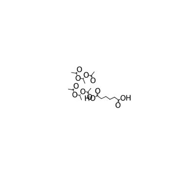 CC(=O)OC(C)OC(C)=O.CC(=O)OC(C)OC(C)=O.O=C(O)CCCCC(=O)O